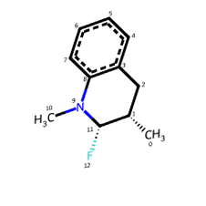 C[C@H]1Cc2ccccc2N(C)[C@H]1F